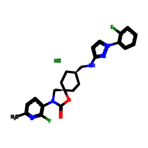 Cc1ccc(N2C[C@]3(CC[C@@H](CNc4ccn(-c5ccccc5F)n4)CC3)OC2=O)c(F)n1.Cl